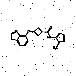 Cn1nccc1NC(=O)[C@H]1C[C@H](Oc2cccc3scnc23)C1